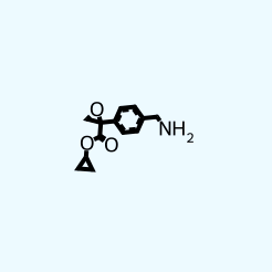 NCc1ccc(C2(C(=O)OC3CC3)CO2)cc1